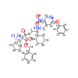 NC(C(=O)CCC(NCc1cc(Oc2ccccc2)ncc1[N+](=O)[O-])C1CCCCC1)(C(=O)OCc1ccccc1)C1CCCCC1